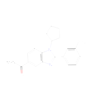 CNC(=O)c1ccc2c(c1)nc(-c1cccc(C(=O)O)c1)n2C1CCCC1